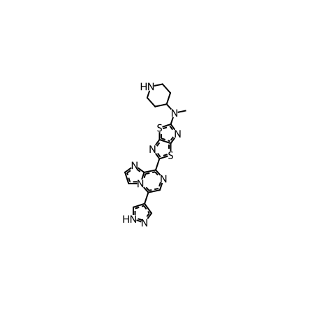 CN(c1nc2sc(-c3ncc(-c4cn[nH]c4)n4ccnc34)nc2s1)C1CCNCC1